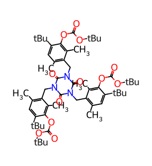 Cc1cc(C(C)(C)C)c(OC(=O)OC(C)(C)C)c(C)c1Cn1c(=O)n(Cc2c(C)cc(C(C)(C)C)c(OC(=O)OC(C)(C)C)c2C)c(=O)n(Cc2c(C)cc(C(C)(C)C)c(OC(=O)OC(C)(C)C)c2C)c1=O